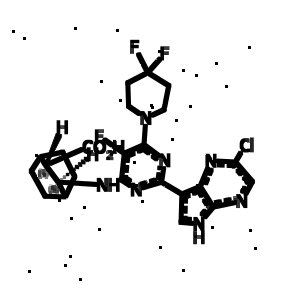 O=C(O)[C@H]1C2CCC(CC2)[C@@H]1Nc1nc(-c2c[nH]c3ncc(Cl)nc23)nc(N2CCC(F)(F)CC2)c1F